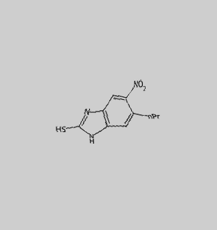 CCCc1cc2[nH]c(S)nc2cc1[N+](=O)[O-]